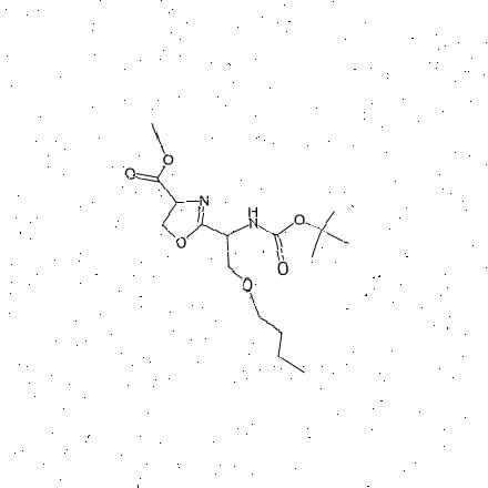 CCCCOCC(NC(=O)OC(C)(C)C)C1=NC(C(=O)OC)CO1